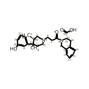 C[C@H]1CN(CCC(=O)N2Cc3ccccc3C[C@H]2C(=O)O)CC[C@@]1(C)c1cccc(O)c1